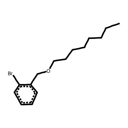 CCCCCCCCOCc1ccccc1Br